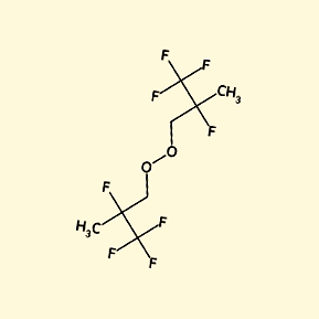 CC(F)(COOCC(C)(F)C(F)(F)F)C(F)(F)F